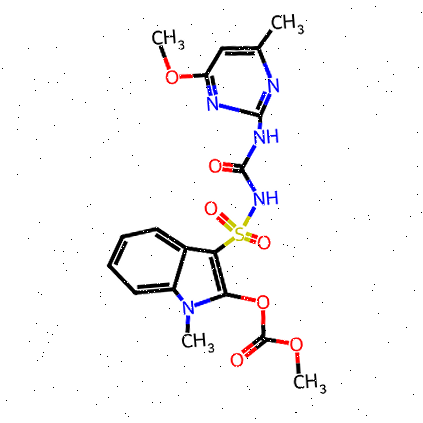 COC(=O)Oc1c(S(=O)(=O)NC(=O)Nc2nc(C)cc(OC)n2)c2ccccc2n1C